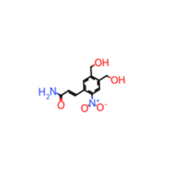 NC(=O)/C=C/c1cc(CO)c(CO)cc1[N+](=O)[O-]